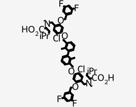 Cc1c(COc2cc(OCc3cc(F)cc(F)c3)c(CN(C)C(CC(C)C)C(=O)O)cc2Cl)cccc1-c1cccc(COc2cc(OCc3cc(F)cc(F)c3)c(CN(C)C(CC(C)C)C(=O)O)cc2Cl)c1C